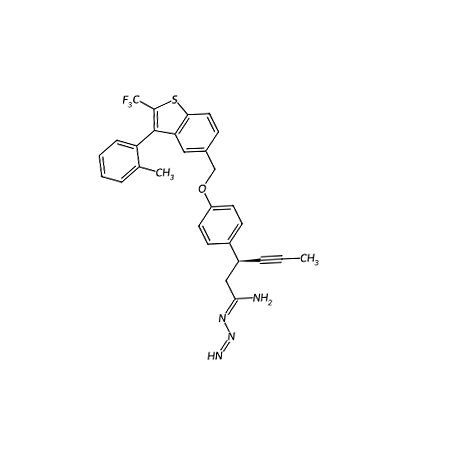 CC#C[C@@H](C/C(N)=N/N=N)c1ccc(OCc2ccc3sc(C(F)(F)F)c(-c4ccccc4C)c3c2)cc1